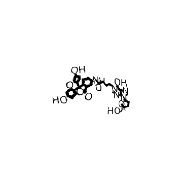 O=C(CCCN1CN=c2c(ncn2[C@H]2CC[C@@H](CO)O2)=C1O)Nc1ccc2c(c1)C(=O)OC21c2ccc(O)cc2Oc2cc(O)ccc21